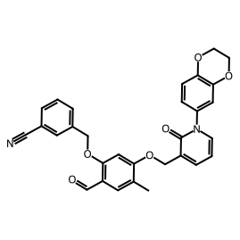 Cc1cc(C=O)c(OCc2cccc(C#N)c2)cc1OCc1cccn(-c2ccc3c(c2)OCCO3)c1=O